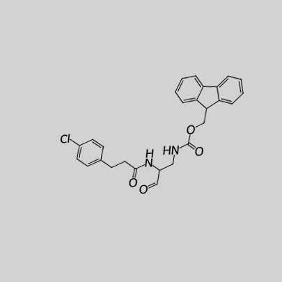 O=CC(CNC(=O)OCC1c2ccccc2-c2ccccc21)NC(=O)CCc1ccc(Cl)cc1